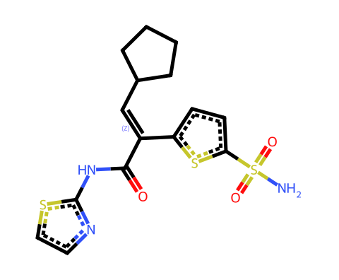 NS(=O)(=O)c1ccc(/C(=C\C2CCCC2)C(=O)Nc2nccs2)s1